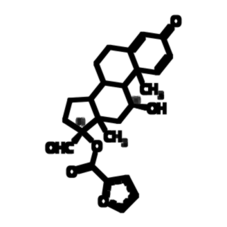 CC12C=CC(=O)C=C1CCC1C2[C@@H](O)CC2(C)C1CC[C@@]2(C=O)OC(=O)c1ccco1